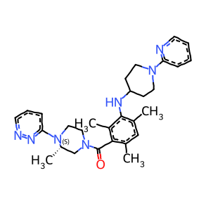 Cc1cc(C)c(C(=O)N2CCN(c3cccnn3)[C@@H](C)C2)c(C)c1NC1CCN(c2ccccn2)CC1